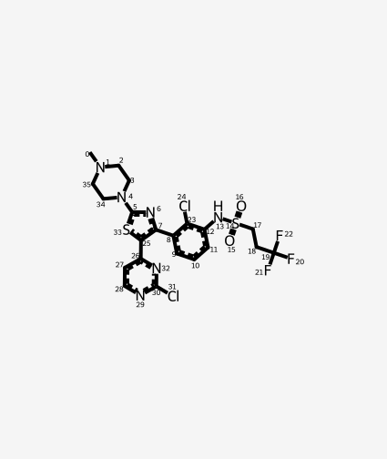 CN1CCN(c2nc(-c3cccc(NS(=O)(=O)CCC(F)(F)F)c3Cl)c(-c3ccnc(Cl)n3)s2)CC1